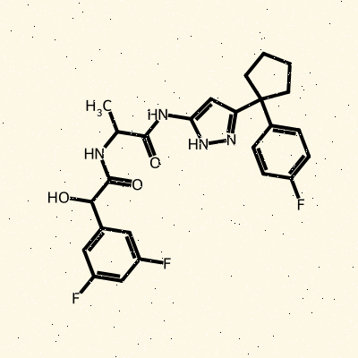 CC(NC(=O)C(O)c1cc(F)cc(F)c1)C(=O)Nc1cc(C2(c3ccc(F)cc3)CCCC2)n[nH]1